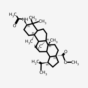 C=C(C)[C@@H]1CC[C@]2(C(=O)OC)CC[C@]3(C)C(CCC4[C@@]5(C)CC[C@@H](NC(C)=O)C(C)(C)C5CC[C@]43C)C12